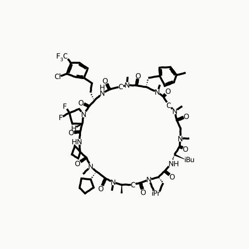 CC[C@H](C)[C@@H]1NC(=O)[C@H](CC(C)C)N(C)C(=O)C[C@@H](C)N(C)C(=O)[C@H](C2CCCC2)N(C)C(=O)C2(CCC2)NC(=O)[C@@H]2CC(F)(F)CN2C(=O)[C@H](CCc2ccc(C(F)(F)F)c(Cl)c2)NC(=O)CN(C)C(=O)[C@H](Cc2ccc(C)cc2)N(C)C(=O)CN(C)C(=O)CN(C)C1=O